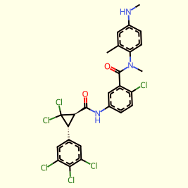 CNc1ccc(N(C)C(=O)c2cc(NC(=O)[C@H]3[C@H](c4cc(Cl)c(Cl)c(Cl)c4)C3(Cl)Cl)ccc2Cl)c(C)c1